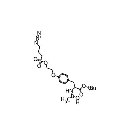 CB(O)NC(Cc1ccc(OCCOS(=O)(=O)CCCN=[N+]=[N-])cc1)C(=O)OC(C)(C)C